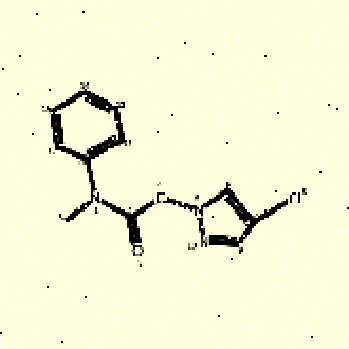 CN(C(=O)On1cc(Cl)cn1)c1ccccc1